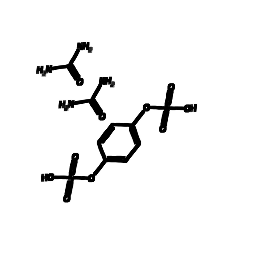 NC(N)=O.NC(N)=O.O=S(=O)(O)Oc1ccc(OS(=O)(=O)O)cc1